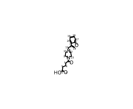 O=C(O)CCCC(=O)N1CCN(Cc2coc3ccccc23)CC1